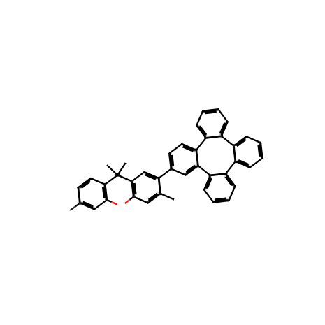 CCc1ccc2c(c1)Oc1cc(C)c(-c3ccc4c(c3)-c3ccccc3-c3ccccc3-c3ccccc3-4)cc1C2(C)C